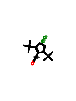 C[Si](C)(C)C1=CCC([Si](C)(C)C)=[C]1[V+2]=[O].[Cl-].[Cl-]